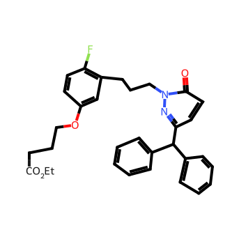 CCOC(=O)CCCOc1ccc(F)c(CCCn2nc(C(c3ccccc3)c3ccccc3)ccc2=O)c1